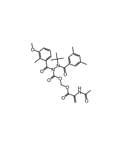 C=C(NC(C)=O)C(=O)OCOC(=O)N(C(=O)c1cccc(OC)c1C)N(C(=O)c1cc(C)cc(C)c1)C(C)(C)C